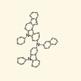 c1ccc(-n2c3ccccc3c3cc(N(c4ccc5ccccc5c4)c4ccc5c6c7sc8ccccc8c7ccc6n(-c6ccccc6)c5c4)ccc32)cc1